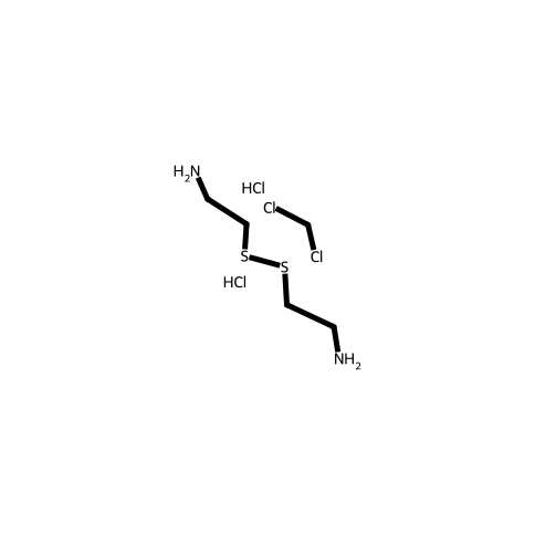 Cl.Cl.ClCCl.NCCSSCCN